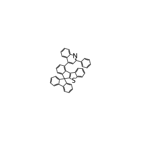 c1ccc(-c2cc(-c3cccc4c3-c3c(sc5ccccc35)C43c4ccccc4-c4ccccc43)c3ccccc3n2)cc1